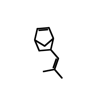 CC(C)=CC1CC2C=CC1C2